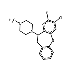 CN1CCN(C2Cc3ccccc3Sc3cc(Cl)c(F)cc32)CC1